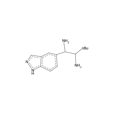 CCCCC(N)C(N)c1ccc2[nH]ncc2c1